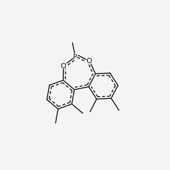 Cc1ccc2op(C)oc3ccc(C)c(C)c3c2c1C